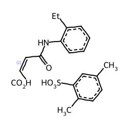 CCc1ccccc1NC(=O)/C=C\C(=O)O.Cc1ccc(C)c(S(=O)(=O)O)c1